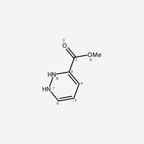 COC(=O)C1=CC=CNN1